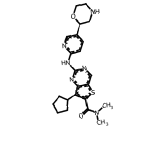 CN(C)C(=O)c1sc2cnc(Nc3ccc([C@@H]4CNCCO4)cn3)nc2c1C1CCCC1